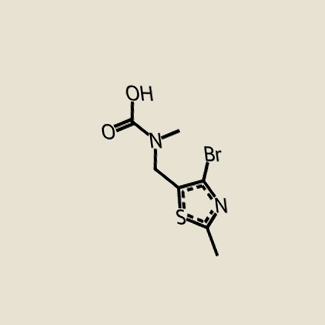 Cc1nc(Br)c(CN(C)C(=O)O)s1